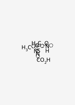 Cc1ccc(OCc2ccc(C(=O)NC3CCCCC3)cc2C)c(-c2csc(N3CCC(C(=O)O)CC3)n2)c1